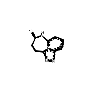 O=C1CCc2nnc3cccc(n23)N1